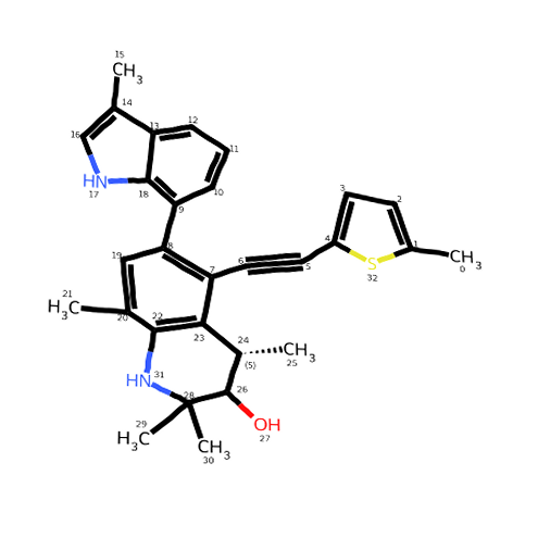 Cc1ccc(C#Cc2c(-c3cccc4c(C)c[nH]c34)cc(C)c3c2[C@H](C)C(O)C(C)(C)N3)s1